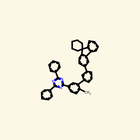 Cc1ccc(-c2nc(-c3ccccc3)nc(-c3ccccc3)n2)cc1-c1cccc(-c2ccc3c(c2)-c2ccccc2C32CCCCC2)c1